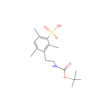 Cc1cc(C)c(S(=O)(=O)O)c(C)c1CCNC(=O)OC(C)(C)C